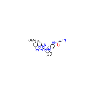 COC1CCC(/C=N\c2nc(NCc3c(C)cccc3-n3ccc4cc(NC(=O)/C=C/CN(C)C)ccc43)n3ncc(C(C)C)c3n2)CC1